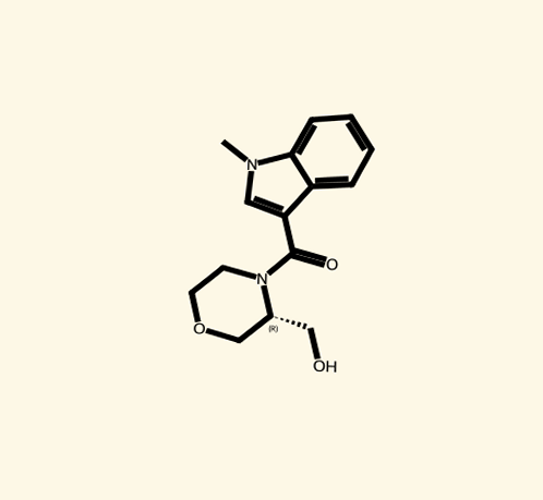 Cn1cc(C(=O)N2CCOC[C@H]2CO)c2ccccc21